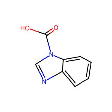 O=C(O)n1cnc2ccccc21